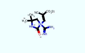 CCOC(=O)C(C#N)=C[N+]1(C(=N)N)CC(C)(C)NC1=O